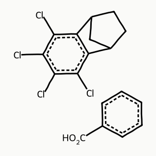 Clc1c(Cl)c(Cl)c2c(c1Cl)C1CCC2C1.O=C(O)c1ccccc1